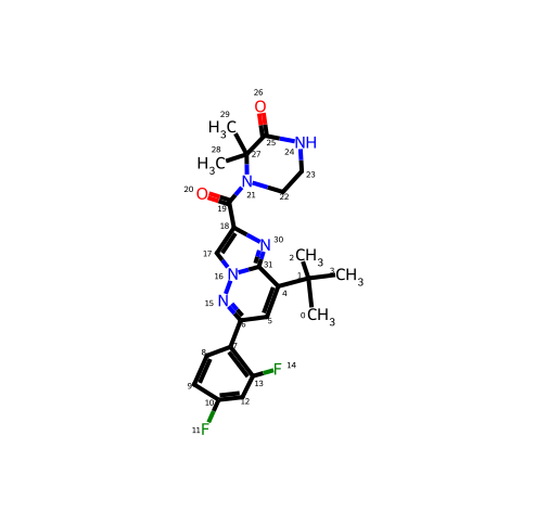 CC(C)(C)c1cc(-c2ccc(F)cc2F)nn2cc(C(=O)N3CCNC(=O)C3(C)C)nc12